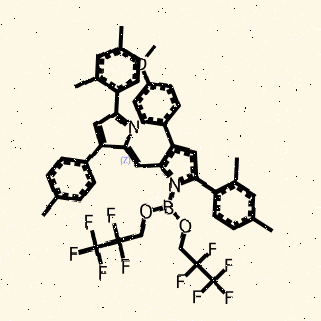 COc1ccc(-c2cc(-c3ccc(C)cc3C)n(B(OCC(F)(F)C(F)(F)F)OCC(F)(F)C(F)(F)F)c2/C=C2\N=C(c3ccc(C)cc3C)C=C2c2ccc(C)cc2)cc1